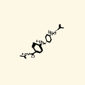 CC(C)NC(=O)c1ccc(NC[C@H]2CC[C@H](NSC(C)C)CC2)cc1